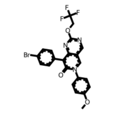 COc1ccc(-n2cc3cnc(OCC(F)(F)F)nc3c(-c3ccc(Br)cc3)c2=O)cc1